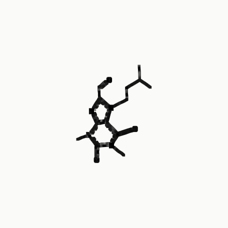 CC(C)CCn1c(C=O)nc2c1c(=O)n(C)c(=O)n2C